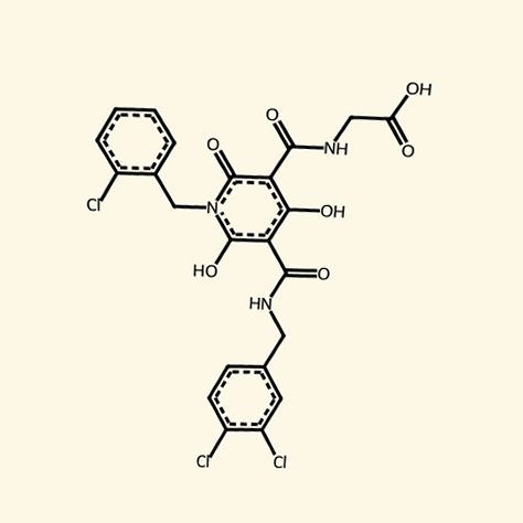 O=C(O)CNC(=O)c1c(O)c(C(=O)NCc2ccc(Cl)c(Cl)c2)c(O)n(Cc2ccccc2Cl)c1=O